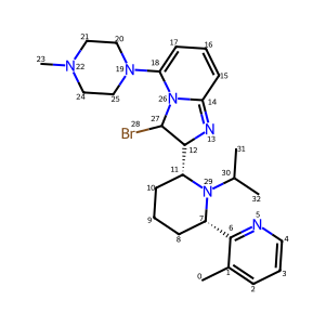 Cc1cccnc1[C@@H]1CCC[C@H](C2N=C3C=CC=C(N4CCN(C)CC4)N3C2Br)N1C(C)C